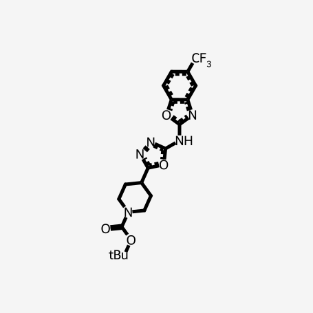 CC(C)(C)OC(=O)N1CCC(c2nnc(Nc3nc4cc(C(F)(F)F)ccc4o3)o2)CC1